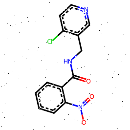 O=C(NCc1cnccc1Cl)c1ccccc1[N+](=O)[O-]